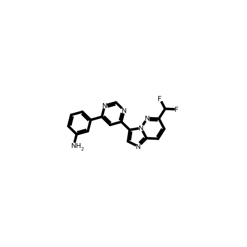 Nc1cccc(-c2cc(-c3cnc4ccc(C(F)F)nn34)ncn2)c1